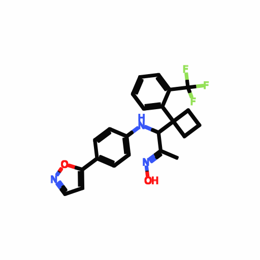 CC(=NO)C(Nc1ccc(-c2ccno2)cc1)C1(c2ccccc2C(F)(F)F)CCC1